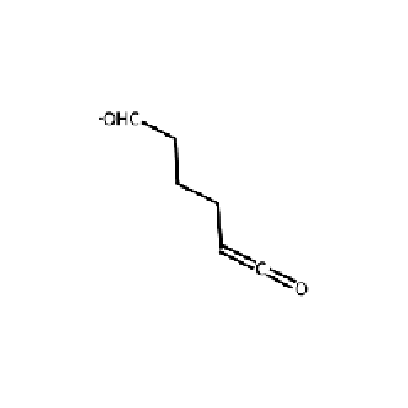 O=[C]CCCC=C=O